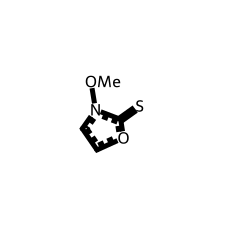 COn1ccoc1=S